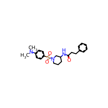 CN(C)c1ccc(S(=O)(=O)N2CCCC(NC(=O)CCc3ccccc3)C2)cc1